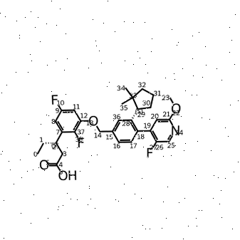 CC[C@@H](CC(=O)O)c1cc(F)cc(OCc2ccc(-c3cc(OC)ncc3F)c([C@H]3CCCC3(C)C)c2)c1F